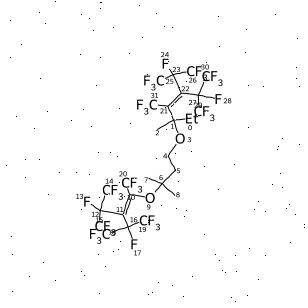 CCC(C)(OCCC(C)(C)OC(=C(C(F)(C(F)(F)F)C(F)(F)F)C(F)(C(F)(F)F)C(F)(F)F)C(F)(F)F)C(=C(C(F)(C(F)(F)F)C(F)(F)F)C(F)(C(F)(F)F)C(F)(F)F)C(F)(F)F